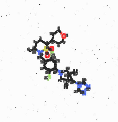 C[C@H]1CCC(C2CCOCC2)S(=O)(=O)N1Cc1cc(F)c(N2C[C@@H]3C(n4cnnc4)[C@@H]3C2)cc1F